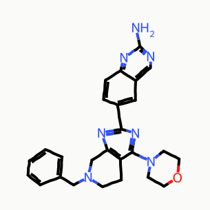 Nc1ncc2cc(-c3nc4c(c(N5CCOCC5)n3)CCN(Cc3ccccc3)C4)ccc2n1